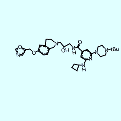 CC(C)(C)N1CCN(c2cc(C(=O)NCC(O)CN3CCc4cc(OCc5cnco5)ccc4C3)cc(NC3CCC3)n2)CC1